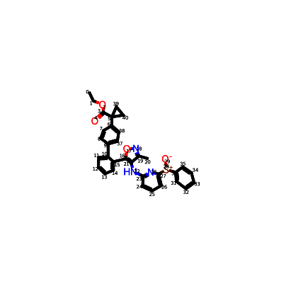 CCOC(=O)C1(c2ccc(-c3ccccc3-c3onc(C)c3Nc3cccc([S+]([O-])c4ccccc4)n3)cc2)CC1